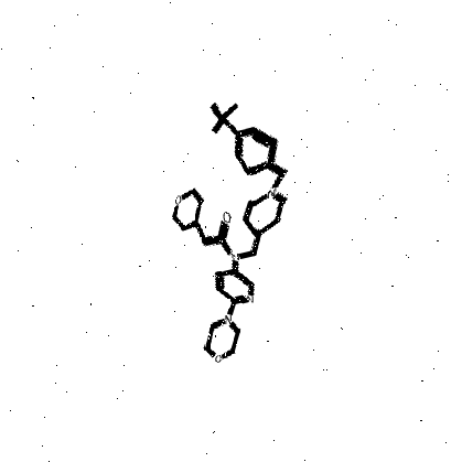 CC(C)(C)c1ccc(CN2CCC(CN(C(=O)CC3CCOCC3)c3ccc(N4CCOCC4)nc3)CC2)cc1